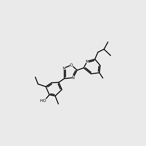 CCc1cc(-c2noc(-c3cc(C)cc(CC(C)C)n3)n2)cc(C)c1O